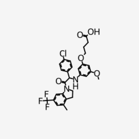 COc1cc(NC(C(=O)N2CCc3c(C)cc(C(F)(F)F)cc32)c2ccc(Cl)cc2)cc(OCCCC(=O)O)c1